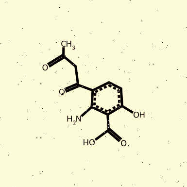 CC(=O)CC(=O)c1ccc(O)c(C(=O)O)c1N